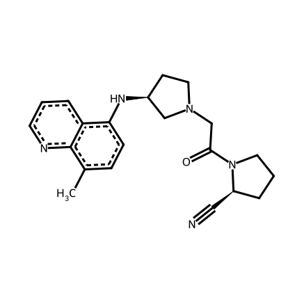 Cc1ccc(N[C@H]2CCN(CC(=O)N3CCC[C@H]3C#N)C2)c2cccnc12